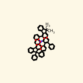 CC1(C)c2ccccc2-c2c(-c3ccccc3N(c3ccc4c(c3)-c3ccccc3C4(c3ccccc3)c3ccccc3)c3cccc(-c4ccccc4)c3-c3ccccc3-c3ccccc3)cccc21